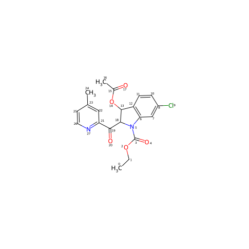 CCOC(=O)N1c2cc(Cl)ccc2C(OC(C)=O)C1C(=O)c1cc(C)ccn1